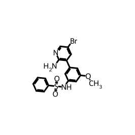 COc1cc(NS(=O)(=O)c2ccccc2)cc(-c2cc(Br)cnc2N)c1